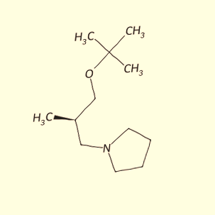 C[C@@H](COC(C)(C)C)CN1CCCC1